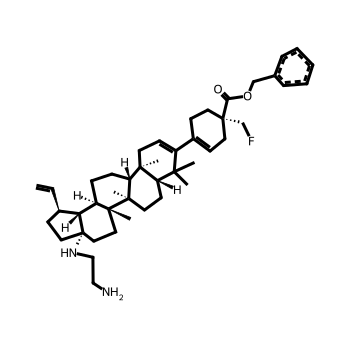 C=C[C@@H]1CC[C@]2(NCCN)CC[C@]3(C)[C@H](CC[C@@H]4[C@@]5(C)CC=C(C6=CC[C@](CF)(C(=O)OCc7ccccc7)CC6)C(C)(C)[C@@H]5CC[C@]43C)[C@@H]12